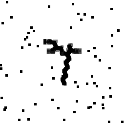 CCCCCCCC(OCC(O)CO)C(C)O